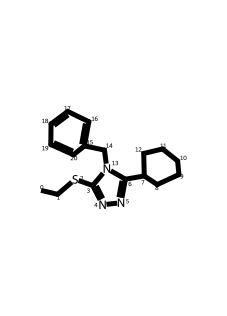 CCSc1nnc(C2CCCCC2)n1Cc1ccccc1